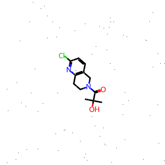 CC(C)(O)C(=O)N1CCc2nc(Cl)ccc2C1